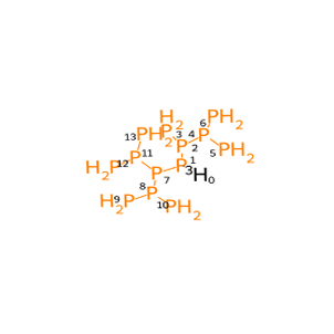 [3H]P(P(P)P(P)P)P(P(P)P)P(P)P